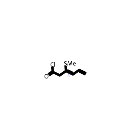 C=C/C=C(/CC(=O)Cl)SC